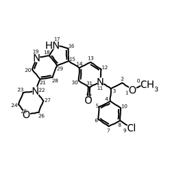 COCC(c1cccc(Cl)c1)n1ccc(-c2c[nH]c3ncc(N4CCOCC4)cc23)cc1=O